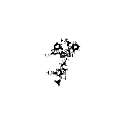 CC(C)COC(=O)[C@H](Cc1ccccc1)NP(=O)(COCCn1cnc2c(NC3CC3)nc(N)nc21)N[C@@H](Cc1ccccc1)C(=O)OCC(C)C